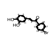 O=C(C=Cc1ccc(O)c(O)c1)c1ccc(Br)cc1